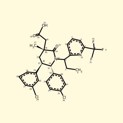 CCC(c1cccc(C(F)(F)F)n1)N1C(=O)[C@@](C)(CC(=O)O)C[C@H](c2cccc(Cl)c2)[C@H]1c1ccc(Cl)cc1